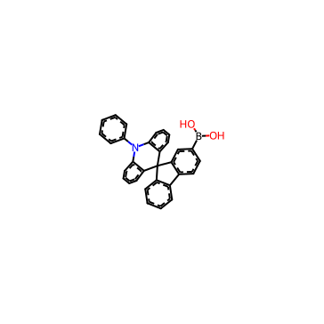 OB(O)c1ccc2c(c1)C1(c3ccccc3-2)c2ccccc2N(c2ccccc2)c2ccccc21